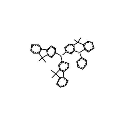 CC1(C)c2ccccc2-c2ccc(N(c3ccc4c(c3)N(c3ccccc3)c3ccccc3C4(C)C)c3ccc4c(c3)C(C)(C)c3ccccc3-4)cc21